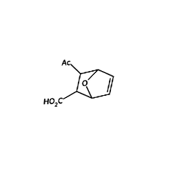 CC(=O)C1C2C=CC(O2)C1C(=O)O